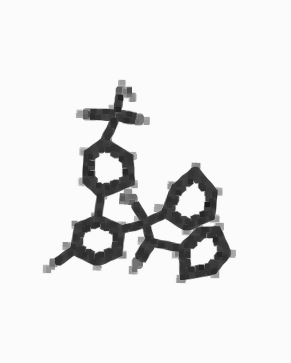 CS(=O)(=O)c1ccc(-c2cc(F)ccc2C(O)(C(=O)c2ccccc2)c2ccccc2)cc1